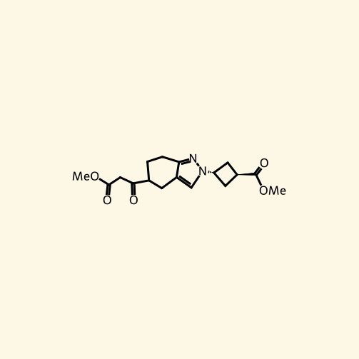 COC(=O)CC(=O)C1CCc2nn([C@H]3C[C@H](C(=O)OC)C3)cc2C1